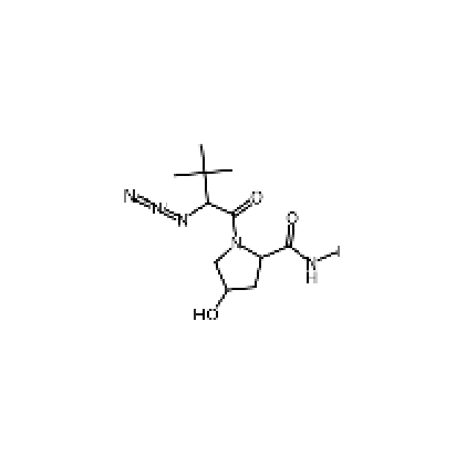 CC(C)(C)C(N=[N+]=[N-])C(=O)N1CC(O)CC1C(=O)NI